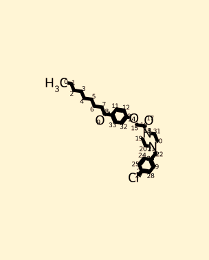 CCCCCCCCC(=O)c1ccc(OCC(=O)N2CCN(Cc3ccc(Cl)cc3)CC2)cc1